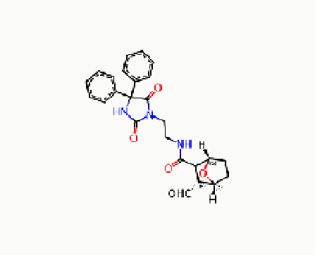 O=C[C@@H]1C(C(=O)NCCN2C(=O)NC(c3ccccc3)(c3ccccc3)C2=O)[C@@H]2CC[C@H]1O2